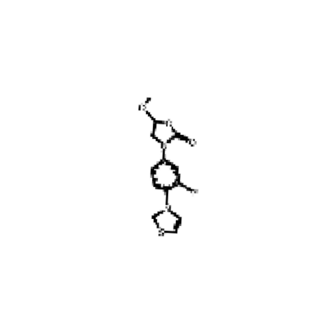 COC1CN(c2ccc(N3C=CSC3)c(F)c2)C(=O)O1